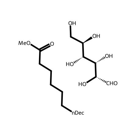 CCCCCCCCCCCCCCCC(=O)OC.O=C[C@H](O)[C@@H](O)[C@H](O)[C@H](O)CO